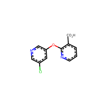 O=C(O)c1cccnc1Oc1cncc(Cl)c1